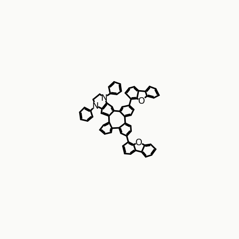 c1ccc(N2CCN(c3ccccc3)c3cc4c(cc32)-c2ccccc2-c2cc(-c3cccc5c3oc3ccccc35)ccc2-c2ccc(-c3cccc5c3oc3ccccc35)cc2-4)cc1